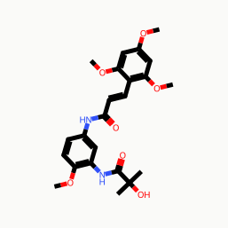 COc1cc(OC)c(/C=C/C(=O)Nc2ccc(OC)c(NC(=O)C(C)(C)O)c2)c(OC)c1